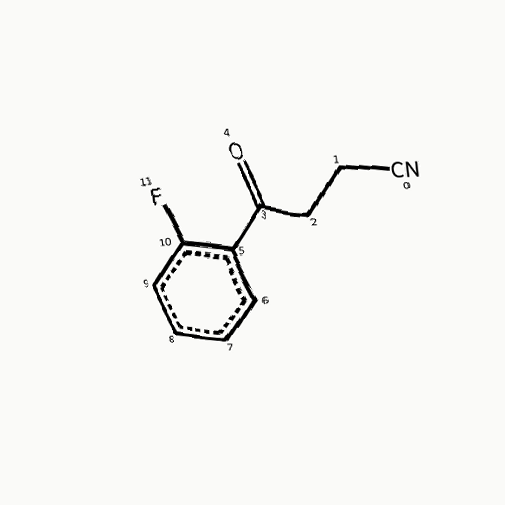 N#CCCC(=O)c1ccccc1F